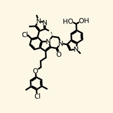 Cc1cc(OCCCc2c3n(c4c(-c5c(C)nn(C)c5C)c(Cl)ccc24)[C@H](C)CN(c2cn(C)c4ccc(C(O)O)cc24)C3=O)cc(C)c1Cl